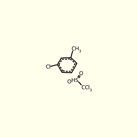 Cc1cccc(Cl)c1.O=[SH](=O)C(Cl)(Cl)Cl